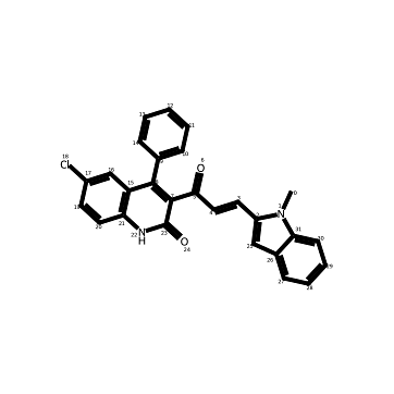 Cn1c(/C=C/C(=O)c2c(-c3ccccc3)c3cc(Cl)ccc3[nH]c2=O)cc2ccccc21